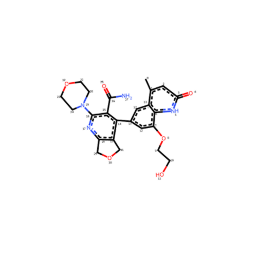 Cc1cc(=O)[nH]c2c(OCCO)cc(-c3c4c(nc(N5CCOCC5)c3C(N)=O)COC4)cc12